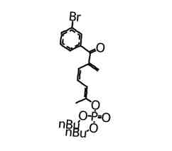 C=C(/C=C\C=C(/C)OP(=O)(OCCCC)OCCCC)C(=O)c1cccc(Br)c1